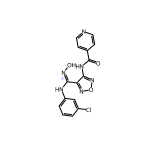 O=C(Nc1nonc1/C(=N\O)Nc1cccc(Cl)c1)c1ccncc1